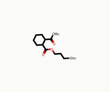 CCCCCCCCCCCCCOC(=O)C1CCCCC1C(=O)OCC(C)C